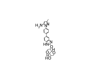 Cc1cc(N)n(-c2ccc(-c3ccc4[nH]c(O[C@@H]5CO[C@H]6[C@@H]5OC[C@H]6O)nc4c3)cc2)n1